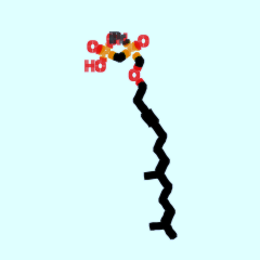 CC(C)=CCC/C(C)=C/CCC#CCCOCP(=O)(CP(=O)(O)O)C(C)C